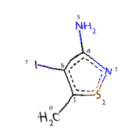 [CH2]c1snc(N)c1I